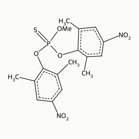 COP(=S)(Oc1c(C)cc([N+](=O)[O-])cc1C)Oc1c(C)cc([N+](=O)[O-])cc1C